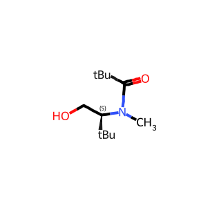 CN(C(=O)C(C)(C)C)[C@H](CO)C(C)(C)C